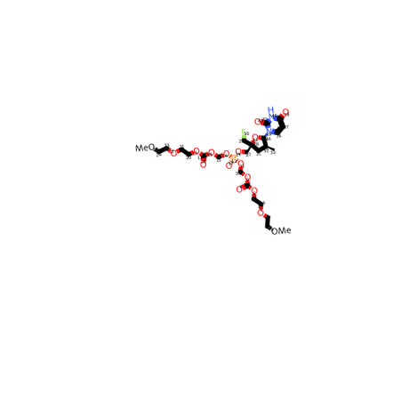 COCCOCCOC(=O)OCOP(=O)(OCOC(=O)OCCOCCOC)OC[C@]1(CF)C[C@H](C)[C@H](n2ccc(=O)[nH]c2=O)O1